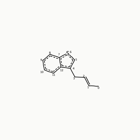 CC=CCc1csc2ccccc12